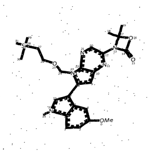 COc1ccc2c(c1)c(-c1cc3nc(N4C(=O)OC4(C)C)cnc3n1COCC[Si](C)(C)C)cn2C